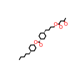 CCCCC[C@H]1CC[C@H](OC(=O)[C@H]2CC[C@H](CCCCOC(=O)CC(C)=O)CC2)CC1